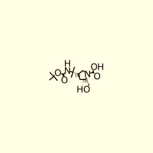 CC(C)(C)OC(=O)NC(C)(C)[C@H]1C[C@@H](CO)N(C(=O)O)C1